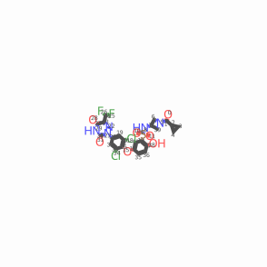 O=C(C1CC1)N1CC(NS(=O)(=O)c2cc(Oc3c(Cl)cc(-n4nc(C(F)F)c(=O)[nH]c4=O)cc3Cl)ccc2O)C1